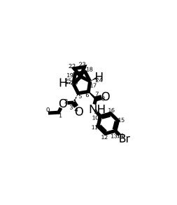 CCOC(=O)[C@H]1[C@H](C(=O)Nc2ccc(Br)cc2)[C@@H]2CC[C@H]1C21CC1